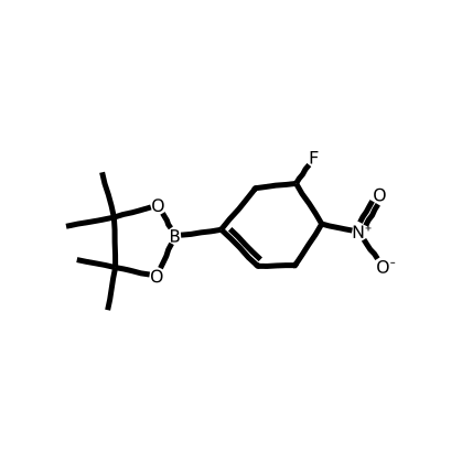 CC1(C)OB(C2=CCC([N+](=O)[O-])C(F)C2)OC1(C)C